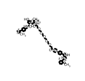 COc1cccc(F)c1-c1ncc2[nH]nc(-c3ccc(N4CCN(C(=O)CCOCCOCCOCCOCCOCCC(=O)N[C@H](C(=O)N5C[C@H](O)C[C@H]5C(=O)NCc5ccc(-c6scnc6C)cc5)C(C)(C)C)CC4)cc3)c2n1